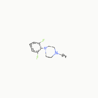 CC(C)N1CCN(c2c(F)cccc2F)CC1